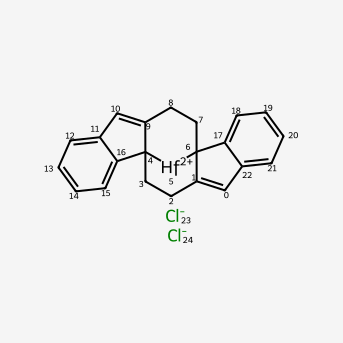 C1=C2CC[C]34[Hf+2][C]2(CCC3=Cc2ccccc24)c2ccccc21.[Cl-].[Cl-]